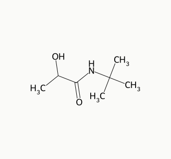 CC(O)C(=O)NC(C)(C)C